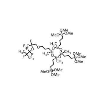 CO[Si](CCC[Si]1(C)O[Si](C)(CCCOCC(F)(OC(F)(F)C(C)(F)C(F)(F)F)C(F)(F)F)O[Si](C)(CCC[Si](OC)(OC)OC)O[Si](C)(CCC[Si](OC)(OC)OC)O1)(OC)OC